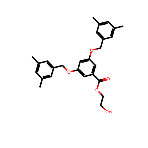 Cc1cc(C)cc(COc2cc(OCc3cc(C)cc(C)c3)cc(C(=O)OCCO)c2)c1